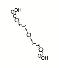 CC(C#Cc1ccc(C#CC(C)=CCSc2ccc(OCC(=O)O)c(C)c2)cc1)=CCSc1ccc(CC(=O)O)c(C)c1